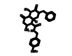 CCC(C)[C@H]1C(=O)N(Cc2ccccc2)C[C@H]2N1C(=O)CN(C)N2C(=O)NCc1ccc(OC)cc1